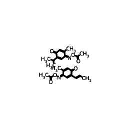 C/C=C/C1=CC(=N/OC(C)=O)/C(C)=CC1=O.CC(=O)O/N=C1/C=C(C(C)C)C(=O)C=C1C